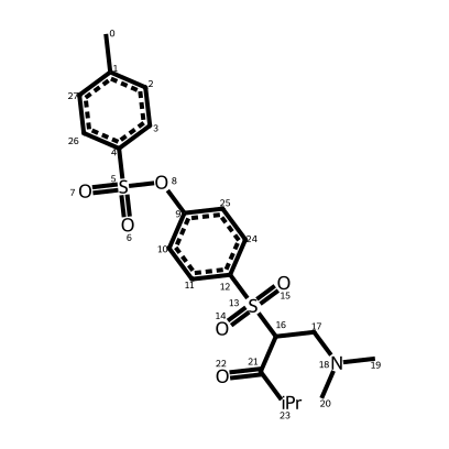 Cc1ccc(S(=O)(=O)Oc2ccc(S(=O)(=O)C(CN(C)C)C(=O)C(C)C)cc2)cc1